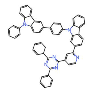 C1=CCC(c2nc(-c3ccccc3)nc(-c3ccnc(-c4ccc5c6ccccc6n(-c6ccc(-c7ccc8c(c7)c7ccccc7n8-c7ccccc7)cc6)c5c4)c3)n2)C=C1